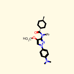 CC(C)N(c1nn(-c2ccc(N(C)C)cc2)cc1OC(=O)O)C(=O)[C@H]1CC[C@H](C)CC1